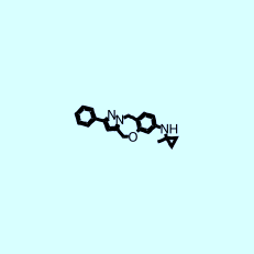 CC1(Nc2ccc3c(c2)OCc2cc(-c4ccccc4)nn2C3)CC1